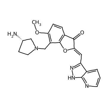 COc1ccc2c(c1CN1CC[C@H](N)C1)O/C(=C\c1n[nH]c3ncccc13)C2=O